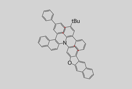 CC(C)(C)c1ccc(N(c2ccc3c(c2)oc2cc4ccccc4cc23)c2ccc3ccccc3c2-c2cccc(-c3ccccc3)c2)c(-c2ccccc2)c1